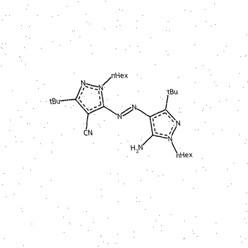 CCCCCCn1nc(C(C)(C)C)c(N=Nc2c(C#N)c(C(C)(C)C)nn2CCCCCC)c1N